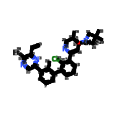 C=Cc1nc(-c2cccc(-c3cccc(C(=C/C(C)OC)/N=C\C(C)CN4CC(C)(C)C4)c3Cl)c2C)cnc1CC